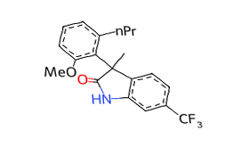 CCCc1cccc(OC)c1C1(C)C(=O)Nc2cc(C(F)(F)F)ccc21